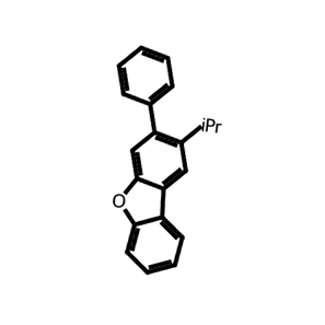 CC(C)c1cc2c(cc1-c1ccccc1)oc1ccccc12